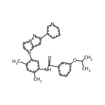 Cc1cc(C)c(-n2ccn3nc(-c4cccnc4)cc23)cc1NC(=O)c1cccc(OC(C)C)c1